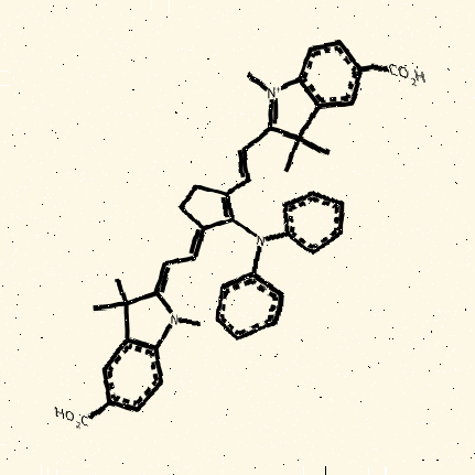 CN1C(=CC=C2CCC(C=CC3=[N+](C)c4ccc(C(=O)O)cc4C3(C)C)=C2N(c2ccccc2)c2ccccc2)C(C)(C)c2cc(C(=O)O)ccc21